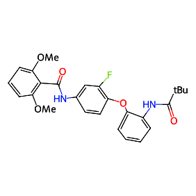 COc1cccc(OC)c1C(=O)Nc1ccc(Oc2ccccc2NC(=O)C(C)(C)C)c(F)c1